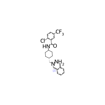 C=c1cccc/c1=C/N(N)C[C@H]1CC[C@H](NC(=O)c2cc(C(F)(F)F)ccc2Cl)CC1